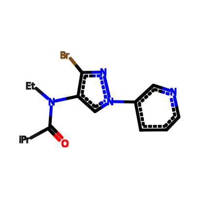 CCN(C(=O)C(C)C)c1cn(-c2cccnc2)nc1Br